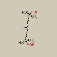 CC(C)(CO)CCCCC(F)CCCCC(C)(C)CO